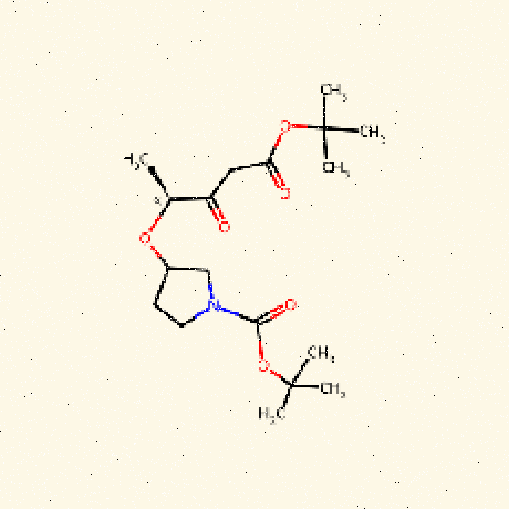 C[C@H](OC1CCN(C(=O)OC(C)(C)C)C1)C(=O)CC(=O)OC(C)(C)C